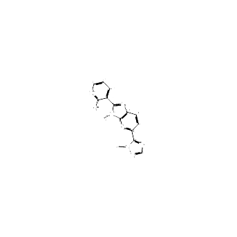 Cn1ncnc1-c1ccc2nc(-c3cccnc3N)n(C)c2n1